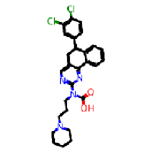 O=C(O)N(CCCN1CCCCC1)c1ncc2c(n1)-c1ccccc1C(c1ccc(Cl)c(Cl)c1)C2